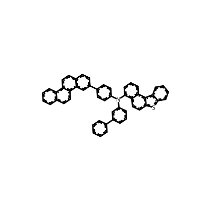 c1ccc(-c2cccc(N(c3ccc(-c4ccc5ccc6c7ccccc7ccc6c5c4)cc3)c3cccc4c3ccc3sc5ccccc5c34)c2)cc1